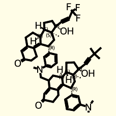 CN(C)c1cccc([C@H]2C[C@@]3(C)[C@@H](CC[C@@]3(O)C#CC(C)(C)C)[C@@H]3CC(CN(C)c4cccc([C@H]5C[C@@]6(C)[C@@H](CC[C@@]6(O)C#CC(F)(F)F)[C@@H]6CCC7=CC(=O)CCC7=C65)c4)C4=CC(=O)CCC4=C32)c1